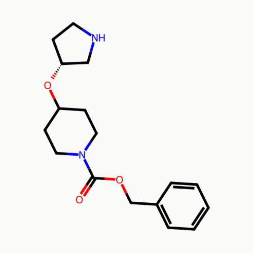 O=C(OCc1ccccc1)N1CCC(O[C@@H]2CCNC2)CC1